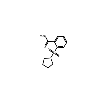 COC(=O)c1ccccc1S(=O)(=O)N1CCCC1